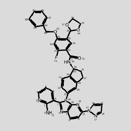 Nc1ncccc1-c1nc2ccc(-n3cccn3)nc2n1-c1ccc2c(c1)CC[C@@H]2NC(=O)c1cc(C2OCCO2)c(OCc2ccccc2)cc1F